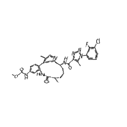 COC(=O)Nc1ccc2c(c1)NC(=O)C(C)CCC[C@H](NC(=O)c1nnn(-c3cccc(Cl)c3F)c1C)c1cc-2c(C)cn1